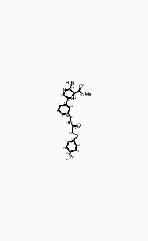 CNC(=O)c1nc(-c2cccc(CNC(=O)COc3ccc(C(C)C)cc3)c2)cnc1N